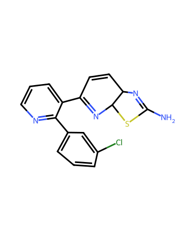 NC1=NC2C=CC(c3cccnc3-c3cccc(Cl)c3)=NC2S1